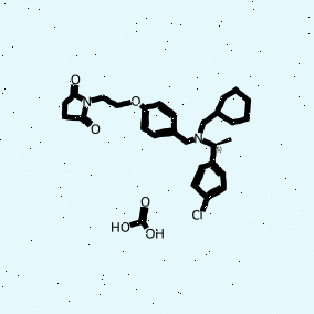 C[C@@H](c1ccc(Cl)cc1)N(Cc1ccc(OCCN2C(=O)CCC2=O)cc1)CC1CCCCC1.O=C(O)O